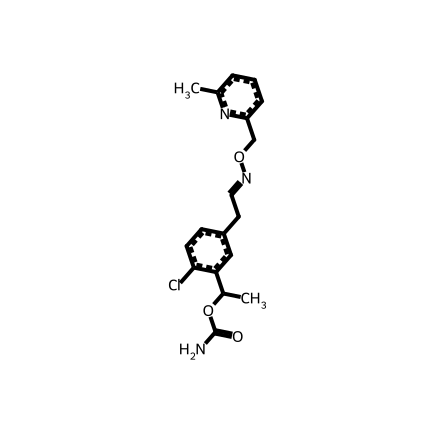 Cc1cccc(CON=CCc2ccc(Cl)c(C(C)OC(N)=O)c2)n1